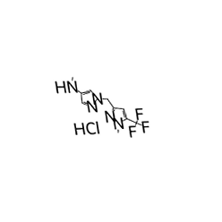 CNc1cnn(Cc2cc(C(F)(F)F)n(C)n2)c1.Cl